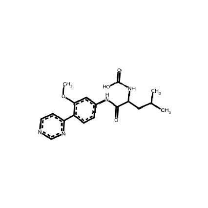 COc1cc(NC(=O)C(CC(C)C)NC(=O)O)ccc1-c1ccncn1